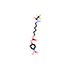 O=C(OCCCCCCNC(=O)C(F)(F)F)Oc1ccc([N+](=O)[O-])cc1